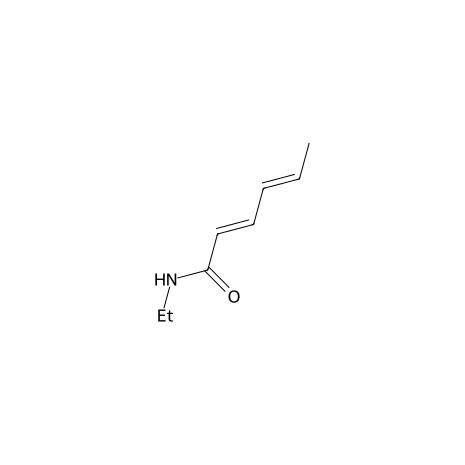 CC=CC=CC(=O)NCC